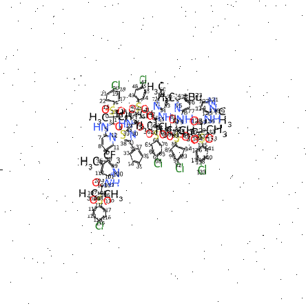 CC(C)(C(=O)Nc1ccc(C(F)(F)F)cn1)S(=O)(=O)c1ccc(Cl)cc1.CC(C)(C(=O)Nc1nc(-c2ccccc2)cs1)S(=O)(=O)c1ccc(Cl)cc1.Cc1ccc(NC(=O)C(C)(C)S(=O)(=O)c2ccc(Cl)cc2)nc1.Cc1cccc(NC(=O)C(C)(C)S(=O)(=O)c2ccc(Cl)cc2)n1.Cc1ccnc(NC(=O)C(C)(C)S(=O)(=O)c2ccc(Cl)cc2)c1.Cn1nc(C(C)(C)C)cc1NC(=O)C(C)(C)S(=O)(=O)c1ccc(Cl)cc1